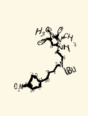 Cn1c(NCCN(CCCCc2ccc([N+](=O)[O-])cc2)C(C)(C)C)cc(=O)n(C)c1=O